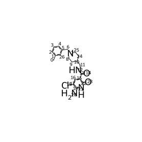 Cc1cccc(CN2CCC(CNC(=O)c3cc(Cl)c(N)[nH]c3=O)CC2)c1